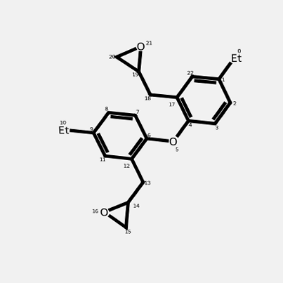 CCc1ccc(Oc2ccc(CC)cc2CC2CO2)c(CC2CO2)c1